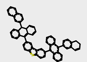 C1=CC2=C(c3ccc4sc5ccc(-c6c7ccccc7c(-c7ccc8c(c7)C=CCC8)c7ccccc67)cc5c4c3)c3ccccc3C(c3ccc4ccccc4c3)C2C=C1